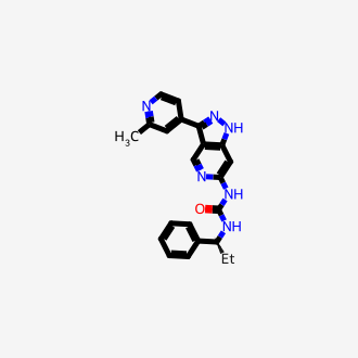 CC[C@H](NC(=O)Nc1cc2[nH]nc(-c3ccnc(C)c3)c2cn1)c1ccccc1